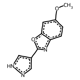 COc1ccc2nc(-c3cn[nH]c3)oc2c1